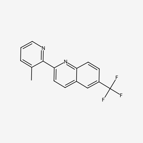 Cc1cccnc1-c1ccc2cc(C(F)(F)F)ccc2n1